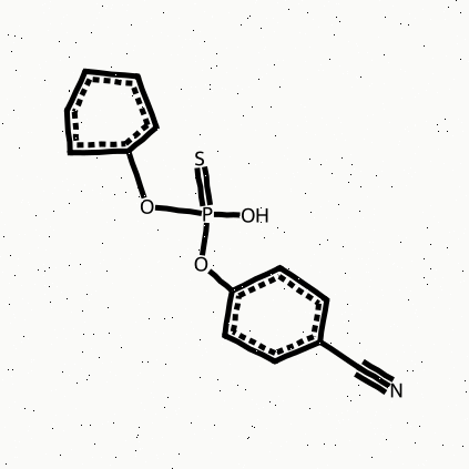 N#Cc1ccc(OP(O)(=S)Oc2ccccc2)cc1